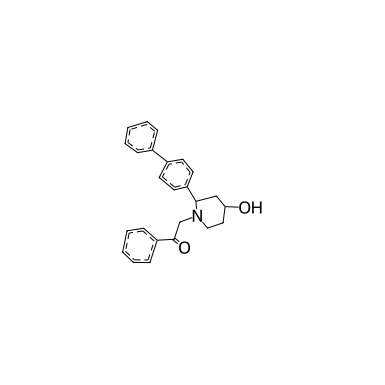 O=C(CN1CCC(O)CC1c1ccc(-c2ccccc2)cc1)c1ccccc1